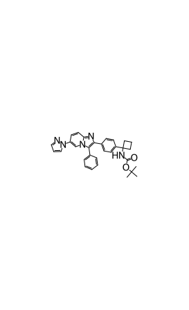 CC(C)(C)OC(=O)NC1(c2ccc(-c3nc4ccc(-n5cccn5)cn4c3-c3ccccc3)cc2)CCC1